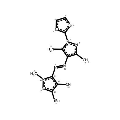 Cc1nn(-c2nccs2)c(N)c1/N=N/c1c(C#N)c(C(C)(C)C)nn1C